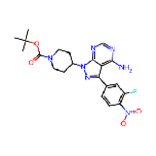 CC(C)(C)OC(=O)N1CCC(n2nc(-c3ccc([N+](=O)[O-])c(F)c3)c3c(N)ncnc32)CC1